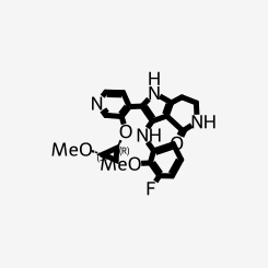 COc1c(F)cccc1Nc1c(-c2ccncc2O[C@@H]2C[C@@H]2OC)[nH]c2c1C(=O)NCC2